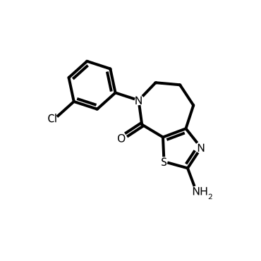 Nc1nc2c(s1)C(=O)N(c1cccc(Cl)c1)CCC2